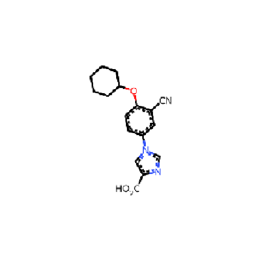 N#Cc1cc(-n2cnc(C(=O)O)c2)ccc1OC1CCCCC1